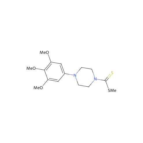 COc1cc(N2CCN(C(=S)SC)CC2)cc(OC)c1OC